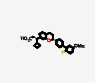 COc1ccc(F)c(-c2ccc([C@H]3CCc4ccc([C@@H](CC(=O)O)C5CCC5)cc4O3)cc2)c1